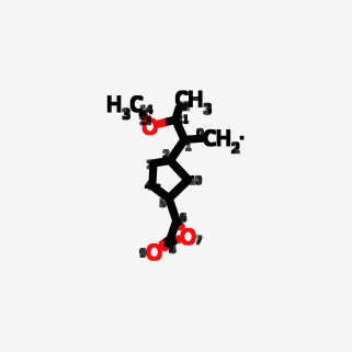 [CH2]C(C1C[CH]C(C2OC2=O)C1)C(C)OC